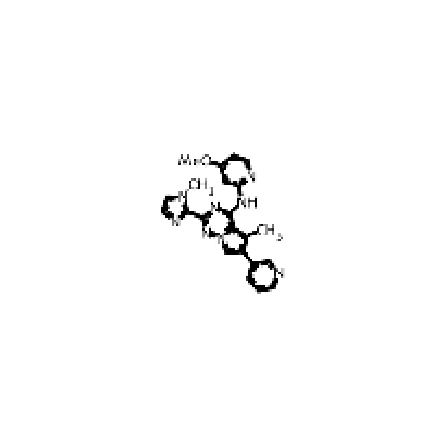 COc1ccnc(Nc2nc(-c3nccn3C)nn3cc(-c4cccnc4)c(C)c23)c1